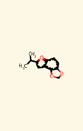 CC(C)c1cc2c3c(ccc2o1)OCO3